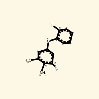 Cc1cc(Oc2ccccc2F)cc(F)c1N